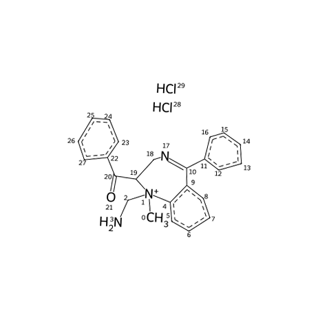 C[N+]1(CN)c2ccccc2C(c2ccccc2)=NCC1C(=O)c1ccccc1.Cl.Cl